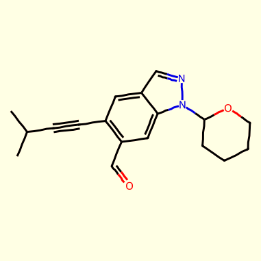 CC(C)C#Cc1cc2cnn(C3CCCCO3)c2cc1C=O